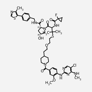 CNc1nc(Nc2ccc(C(=O)N3CCC(CCOCCSC(C)(C)C(NC(=O)C4(F)CC4)C(=O)N4C[C@H](O)C[C@H]4C(=O)NCc4ccc(-c5scnc5C)cc4)CC3)cc2OC)ncc1Cl